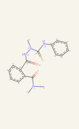 CN(C)C(=O)c1ccccc1C(=O)NN(C)C(=S)Nc1ccccc1